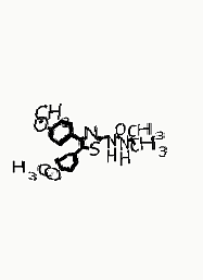 COc1ccc(-c2nc(CNC(=O)NC(C)C)sc2-c2ccc(OC)cc2)cc1